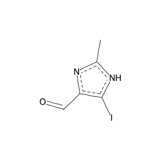 Cc1nc(C=O)c(I)[nH]1